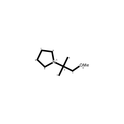 COCC(C)(C)N1CCCC1